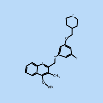 CCCCOc1c(C)c(COc2cc(F)cc(OCC3CCOCC3)c2)nc2ccccc12